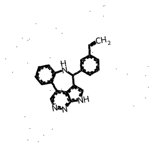 C=Cc1cccc(C2Nc3ccccc3-c3cnnc4[nH]cc2c34)c1